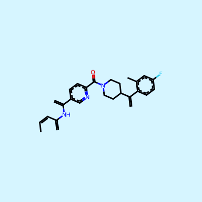 C=C(/C=C\C)NC(=C)c1ccc(C(=O)N2CCC(C(=C)c3ccc(F)cc3C)CC2)nc1